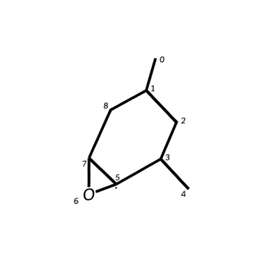 CC1CC(C)[C]2OC2C1